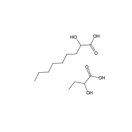 CCC(O)C(=O)O.CCCCCCCC(O)C(=O)O